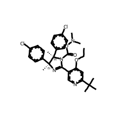 CCOc1cc(C(C)(C)C)ncc1C1=N[C@@](C)(c2ccc(Cl)cc2)[C@@](C)(c2ccc(Cl)cc2)N1C(=O)ON(C)C